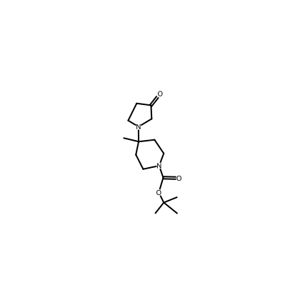 CC(C)(C)OC(=O)N1CCC(C)(N2CCC(=O)C2)CC1